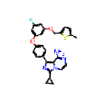 Cc1ccc(COc2cc(F)cc(Oc3ccc(-c4nc(C5CC5)n5ccnc(N)c45)cc3)c2)s1